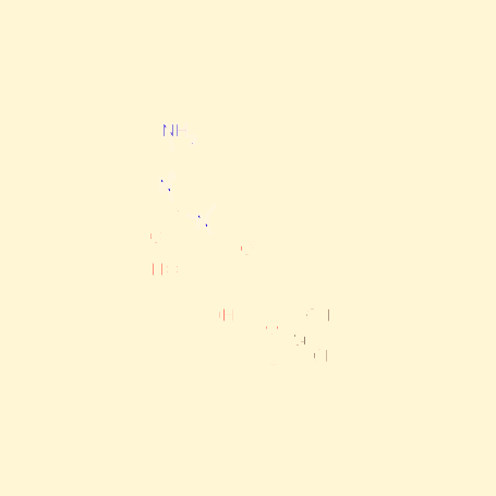 CC[Si](C)(C)OCC1OC(n2ccc(N)nc2=O)C(O)C1O